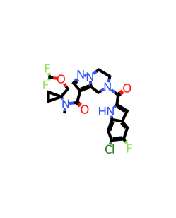 CN(C(=O)c1cnn2c1CN(C(=O)c1cc3cc(F)c(Cl)cc3[nH]1)CC2)C1(COC(F)F)CC1